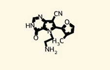 Cc1ccoc1-c1c(C#N)c2nc[nH]c(=O)c2n1CCN